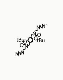 CC(C)(C)OC(=O)N(CCN=[N+]=[N-])Cc1ccc(CN(CCN=[N+]=[N-])C(=O)OC(C)(C)C)cc1